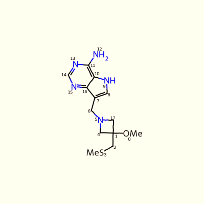 COC1(CSC)CN(Cc2c[nH]c3c(N)ncnc23)C1